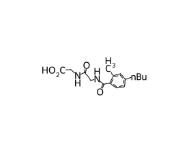 CCCCc1ccc(C(=O)NCC(=O)NCC(=O)O)c(C)c1